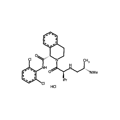 CN[C@@H](C)CN[C@H](C(=O)N1CCc2ccccc2[C@H]1C(=O)Nc1c(Cl)cccc1Cl)C(C)C.Cl